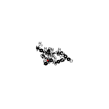 Cc1ncsc1-c1ccc([C@H](C)NC(=O)[C@@H]2C[C@@H](O)CN2C(=O)[C@@H](NC(=O)CCSC(=O)NC2CCN(CC3(C)CCC(c4ccc(Cl)cc4)=C(CN4CCN(c5ccc(C(=O)NSc6ccc(N[C@H](CCN7CCOCC7)CSc7ccccc7)c(S(=O)(=O)C(F)(F)F)c6)cc5)CC4)C3)CC2)C(C)(C)C)cc1